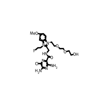 COc1ccc2c(c1)n(CCF)c(CNC(=O)c1nc(Cl)c(N)nc1N)[n+]2CCOCCOCCO